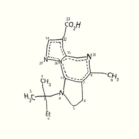 CCC(C)(C)N1CCc2c(C)nc3c(C(=O)O)cnn3c21